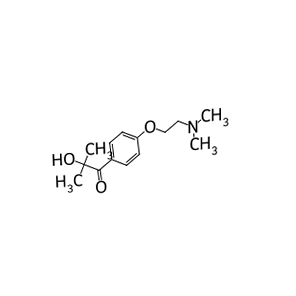 CN(C)CCOc1ccc(C(=O)C(C)(C)O)cc1